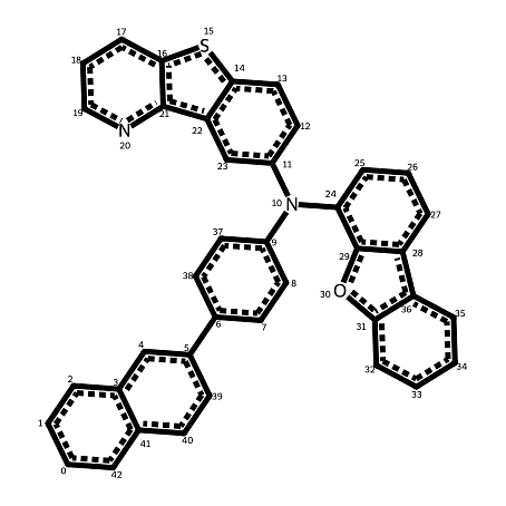 c1ccc2cc(-c3ccc(N(c4ccc5sc6cccnc6c5c4)c4cccc5c4oc4ccccc45)cc3)ccc2c1